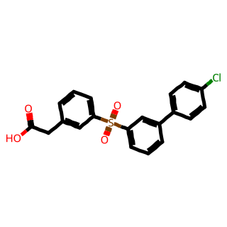 O=C(O)Cc1cccc(S(=O)(=O)c2cccc(-c3ccc(Cl)cc3)c2)c1